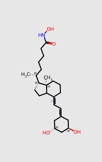 C[C@H](CCCCC(=O)NO)[C@H]1CCC2/C(=C/C=C3C[C@@H](O)C[C@H](O)C3)CCC[C@@]21C